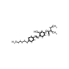 CCCCCCc1ccc(N=Nc2ccc(OC(=O)C(C)CC)cc2O)cc1